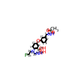 CS(=O)(=O)NCc1cccc(Oc2ccc3c(c2)S(O)(O)NCN3CCF)c1